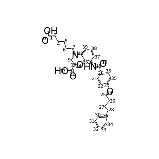 O=C(O)CCCCCN1CC(C(=O)O)Oc2c(NC(=O)c3ccc(OCCCCc4ccccc4)cc3)cccc21